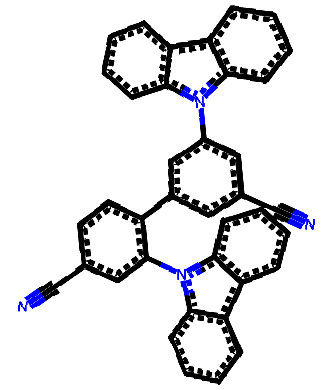 N#Cc1cc(-c2ccc(C#N)cc2-n2c3ccccc3c3ccccc32)cc(-n2c3ccccc3c3ccccc32)c1